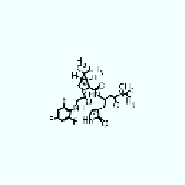 CN(C)C(=O)CC(C[C@@H]1CCNC1=O)NC(=O)C1[C@@H]2[C@H](CN1C(=O)CNc1c(F)cc(F)cc1F)C2(C)C